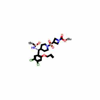 C=CCOc1cc(Cl)c(Cl)cc1[C@H](N[S+]([O-])C(C)(C)C)C1CCN(S(=O)(=O)C2CN(C(=O)OC(C)(C)C)C2)CC1